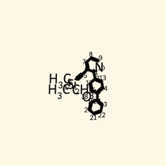 C[Si](C)(C)C#Cc1cccnc1-c1ccc2c(c1)oc1ccccc12